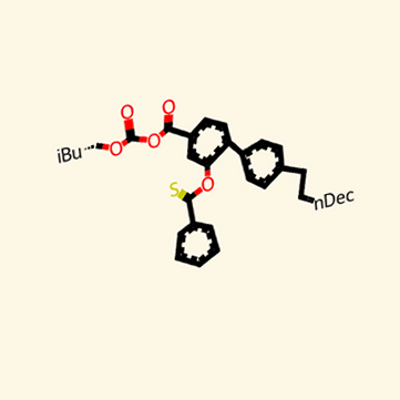 CCCCCCCCCCCCc1ccc(-c2ccc(C(=O)OC(=O)OC[C@@H](C)CC)cc2OC(=S)c2ccccc2)cc1